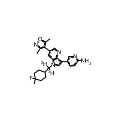 [2H]C([2H])(C1CCC(C)(F)CC1)n1cc(-c2ccc(N)nc2)c2ncc(-c3c(C)noc3C)cc21